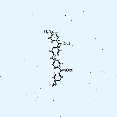 CCCCCCCCC(c1ccc(N)cc1)c1ccc(Cc2ccc(C(CCCCCCCC)c3ccc(N)cc3)cc2)cc1